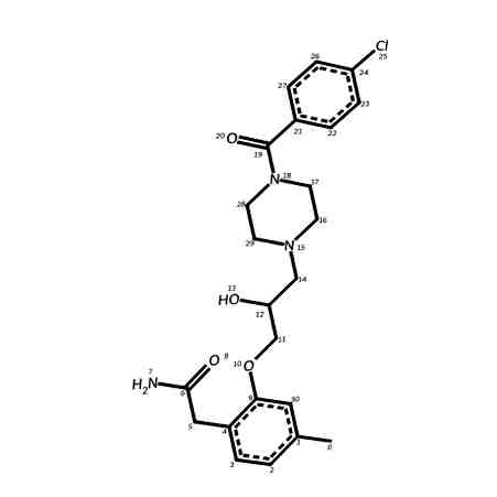 Cc1ccc(CC(N)=O)c(OCC(O)CN2CCN(C(=O)c3ccc(Cl)cc3)CC2)c1